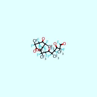 O=C(F)C(F)(C(=O)C(F)(F)C(F)(C(=O)C(F)(F)C(F)(C(=O)C(F)(F)C(F)(C(=O)C(F)(F)C(F)(C(=O)C(F)(F)F)C(F)(F)F)C(F)(F)F)C(F)(F)F)C(F)(F)F)C(F)(F)F